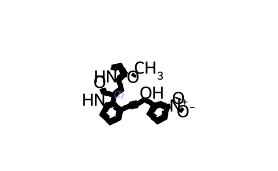 COc1cc[nH]c1/C=C1\C(=O)Nc2cccc(C#CC(O)c3cccc([N+](=O)[O-])c3)c21